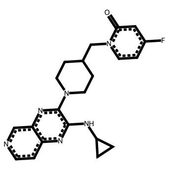 O=c1cc(F)ccn1CC1CCN(c2nc3cnccc3nc2NC2CC2)CC1